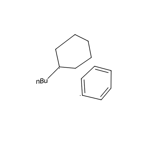 CCCC[C]1CCCCC1.[c]1ccccc1